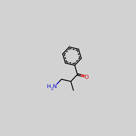 CC(CN)C(=O)c1cc[c]cc1